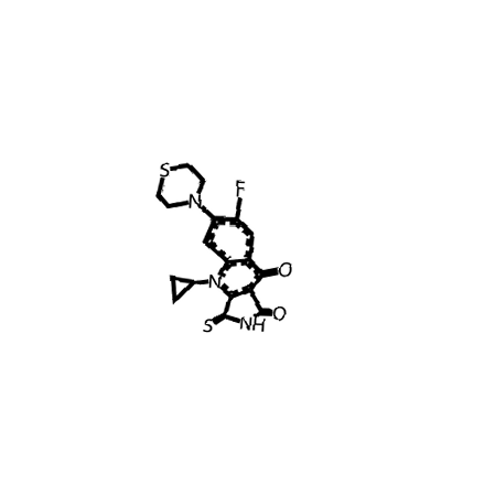 O=C1NC(=S)c2c1c(=O)c1cc(F)c(N3CCSCC3)cc1n2C1CC1